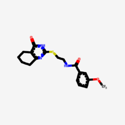 O=C(NCCSc1nc2c(c(=O)[nH]1)CCCC2)c1cccc(OC(F)(F)F)c1